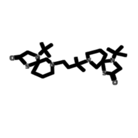 CC(C)(C)N1CC(=O)SC12CCCN(CCC(C)(C)N1CCCC3(C1)SC(=O)CN3C(C)(C)C)C2